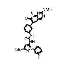 CNc1ncc2cc(-c3cccc(NC(=O)Nc4cc(C(C)(C)C)nn4-c4cccc(F)c4)c3)c(=O)n(C)c2n1